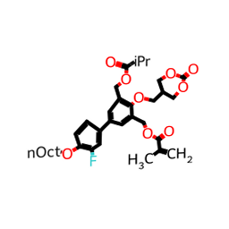 C=C(C)C(=O)OCc1cc(-c2ccc(OCCCCCCCC)c(F)c2)cc(COC(=O)C(C)C)c1OCC1COC(=O)OC1